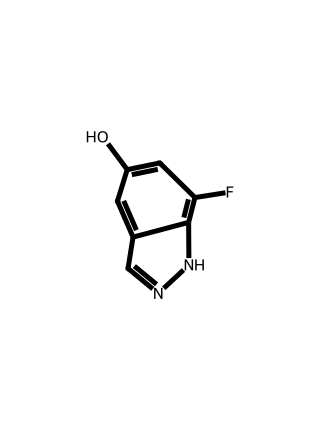 Oc1cc(F)c2[nH]ncc2c1